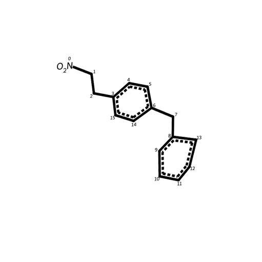 O=[N+]([O-])CCc1ccc(Cc2ccccc2)cc1